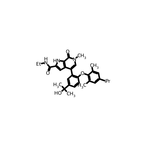 CCNC(=O)c1cc2c(-c3cc(C(C)(C)O)ccc3Oc3c(C)cc(C(C)C)cc3C)cn(C)c(=O)c2[nH]1